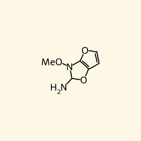 CON1c2occc2OC1N